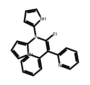 CCC(=C(c1ccccn1)c1ccccn1)P(c1ccc[nH]1)c1ccc[nH]1